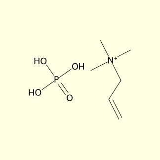 C=CC[N+](C)(C)C.O=P(O)(O)O